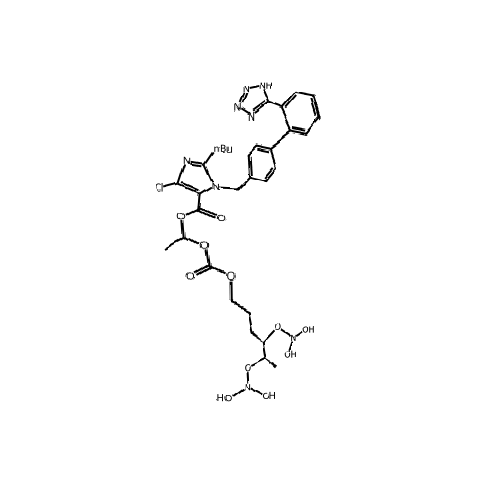 CCCCc1nc(Cl)c(C(=O)OC(C)OC(=O)OCCC[C@@H](ON(O)O)[C@@H](C)ON(O)O)n1Cc1ccc(-c2ccccc2-c2nnn[nH]2)cc1